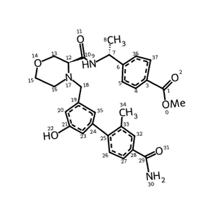 COC(=O)c1ccc([C@@H](C)NC(=O)[C@@H]2COCCN2Cc2cc(O)cc(-c3ccc(C(N)=O)cc3C)c2)cc1